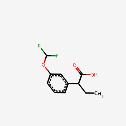 CCC(C(=O)O)c1cccc(OC(F)F)c1